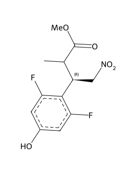 COC(=O)C(C)[C@@H](C[N+](=O)[O-])c1c(F)cc(O)cc1F